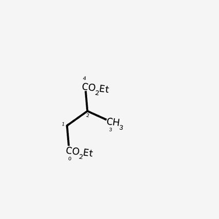 CCOC(=O)CC(C)C(=O)OCC